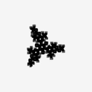 CC(C)(C)OC(=O)Oc1c(C(C)(C)C)cc(-n2c(=O)n(-c3cc(C(C)(C)C)c(OC(=O)OC(C)(C)C)c(C(C)(C)C)c3)c(=O)n(-c3cc(C(C)(C)C)c(OC(=O)OC(C)(C)C)c(C(C)(C)C)c3)c2=O)cc1C(C)(C)C